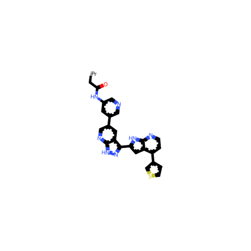 CC(C)CC(=O)Nc1cncc(-c2cnc3[nH]nc(-c4cc5c(-c6ccsc6)ccnc5[nH]4)c3c2)c1